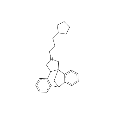 c1ccc2c(c1)C1CC3(CN(CCCC4CCCC4)CC23)c2ccccc21